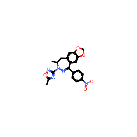 Cc1nc(N2N=C(c3ccc([N+](=O)[O-])cc3)c3cc4c(cc3CC2C)OCO4)no1